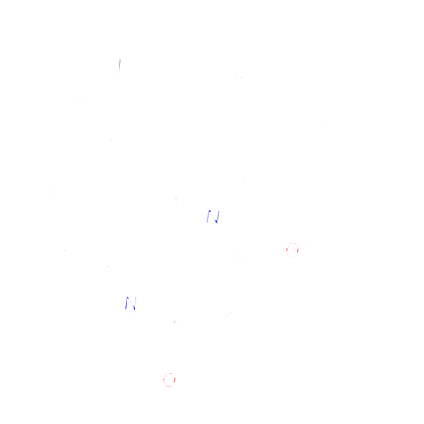 CN1C(=O)CC(=O)N(c2ccccc2)c2cc(CI)ccc21